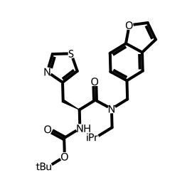 CC(C)CN(Cc1ccc2occc2c1)C(=O)[C@H](Cc1cscn1)NC(=O)OC(C)(C)C